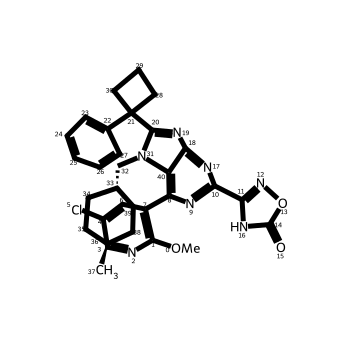 COc1ncc(Cl)cc1-c1nc(-c2noc(=O)[nH]2)nc2nc(C3(c4ccccc4)CCC3)n(C[C@H]3CC[C@H](C)CC3)c12